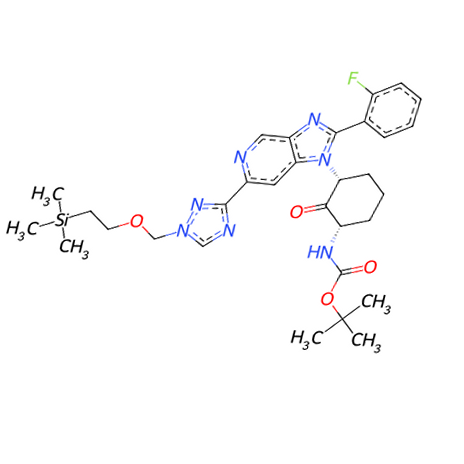 CC(C)(C)OC(=O)N[C@H]1CCC[C@@H](n2c(-c3ccccc3F)nc3cnc(-c4ncn(COCC[Si](C)(C)C)n4)cc32)C1=O